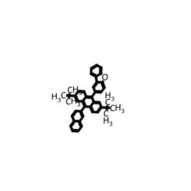 CC(C)(C)c1ccc2c(-c3ccc4oc5ccccc5c4c3)c3cc(C(C)(C)C)ccc3c(-c3ccc4ccccc4c3)c2c1